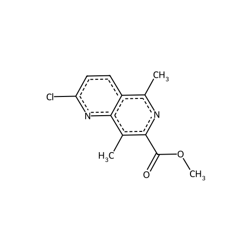 COC(=O)c1nc(C)c2ccc(Cl)nc2c1C